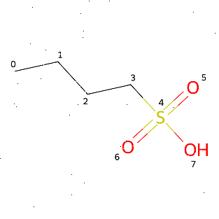 CCCCS(=O)(=O)O